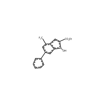 CCOC(=O)c1cc2c(C(F)(F)F)cc(-c3ccccc3)cc2n1O